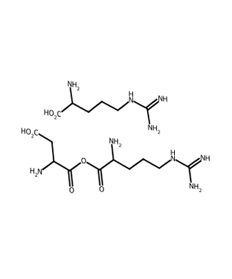 N=C(N)NCCCC(N)C(=O)O.N=C(N)NCCCC(N)C(=O)OC(=O)C(N)CC(=O)O